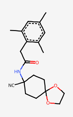 Cc1cc(C)c(CC(=O)NC2(C#N)CCC3(CC2)OCCO3)c(C)c1